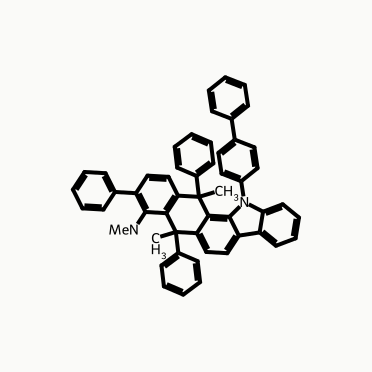 CNc1c(-c2ccccc2)ccc2c1C(C)(c1ccccc1)c1ccc3c4ccccc4n(-c4ccc(-c5ccccc5)cc4)c3c1C2(C)c1ccccc1